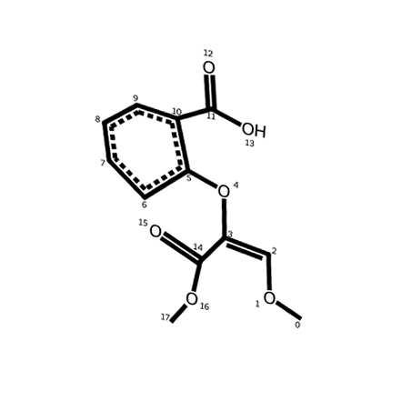 COC=C(Oc1ccccc1C(=O)O)C(=O)OC